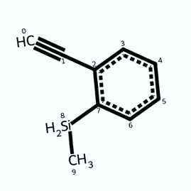 C#Cc1ccccc1[SiH2]C